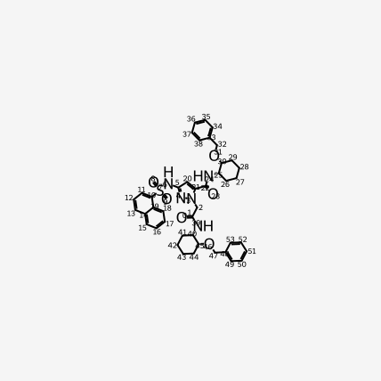 O=C(Cn1nc(NS(=O)(=O)c2cccc3ccccc23)cc1C(=O)N[C@H]1CCCC[C@@H]1OCc1ccccc1)N[C@H]1CCCC[C@@H]1OCc1ccccc1